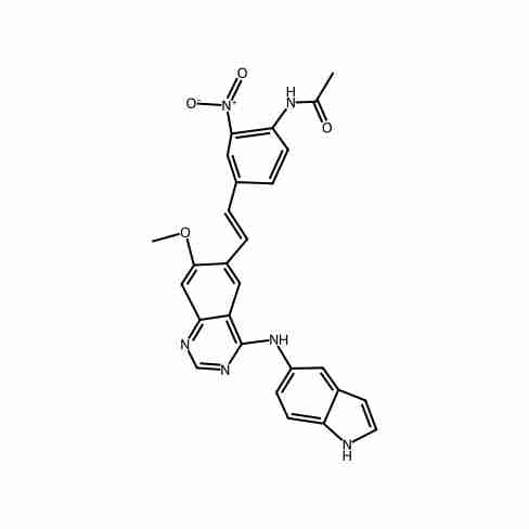 COc1cc2ncnc(Nc3ccc4[nH]ccc4c3)c2cc1/C=C/c1ccc(NC(C)=O)c([N+](=O)[O-])c1